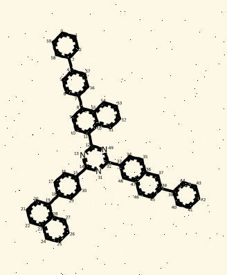 c1ccc(-c2ccc(-c3ccc(-c4nc(-c5ccc(-c6cccc7ccccc67)cc5)nc(-c5ccc6cc(-c7ccccc7)ccc6c5)n4)c4ccccc34)cc2)cc1